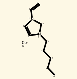 C=CN1C=CN(CCCCC)C1.[Co]